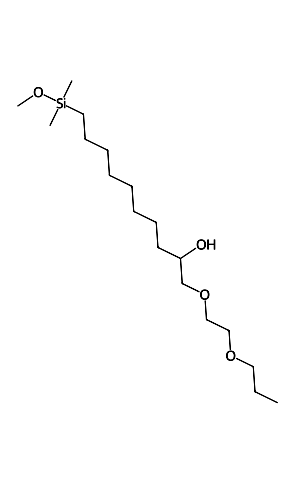 CCCOCCOCC(O)CCCCCCCC[Si](C)(C)OC